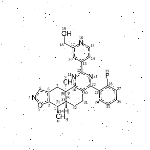 C[C@H]1c2oncc2C[C@@]2(C)c3nc(-c4ccnc(CO)c4)nc(-c4ccccc4F)c3CC[C@H]12